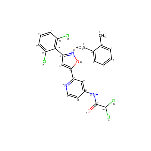 Cc1ccccc1S(=O)(=O)O.O=C(Nc1ccnc(-c2cc(-c3c(Cl)cccc3Cl)no2)c1)C(Cl)Cl